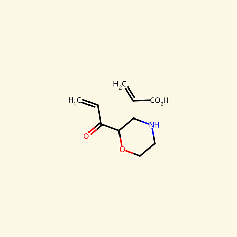 C=CC(=O)C1CNCCO1.C=CC(=O)O